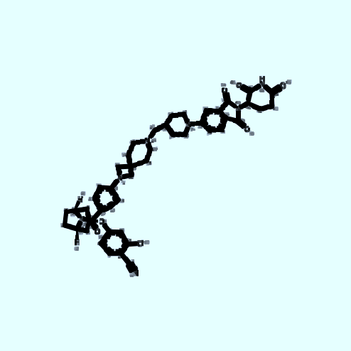 N#Cc1ccc(O[C@H]2C[C@H]3CC[C@@H](C2)N3C(=O)c2ccc(N3CC4(CCN(CC5CCN(c6ccc7c(c6)C(=O)N(C6CCC(=O)NC6=O)C7=O)CC5)CC4)C3)cc2)cc1Cl